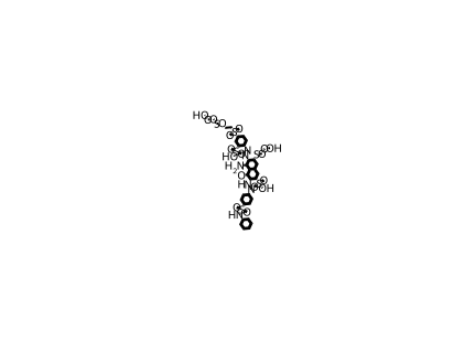 Nc1c(/N=N/c2ccc(S(=O)(=O)CCOSOOO)cc2S(=O)(=O)O)c(SOOO)cc2cc(S(=O)(=O)O)c(/N=N/c3ccc(S(=O)(=O)Nc4ccccc4)cc3)c(O)c12